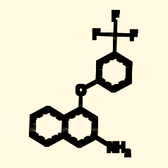 Nc1cc(Oc2cccc(C(F)(F)F)c2)c2ccccc2c1